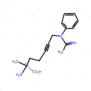 CC(=N)N(CC#CCC[C@](C)(N)C(=O)O)c1ccccc1